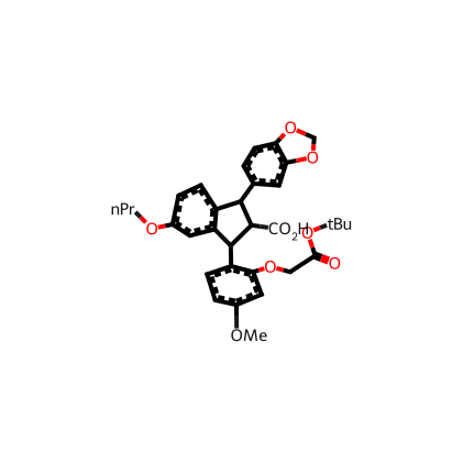 CCCOc1ccc2c(c1)C(c1ccc(OC)cc1OCC(=O)OC(C)(C)C)C(C(=O)O)C2c1ccc2c(c1)OCO2